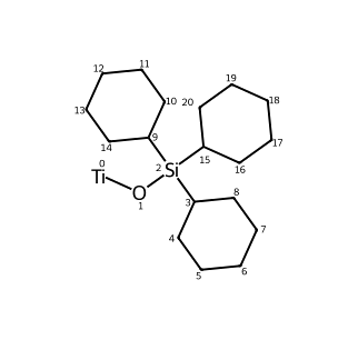 [Ti][O][Si](C1CCCCC1)(C1CCCCC1)C1CCCCC1